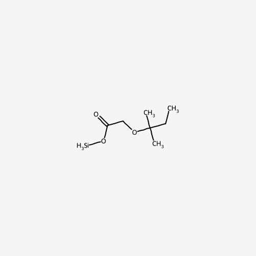 CCC(C)(C)OCC(=O)O[SiH3]